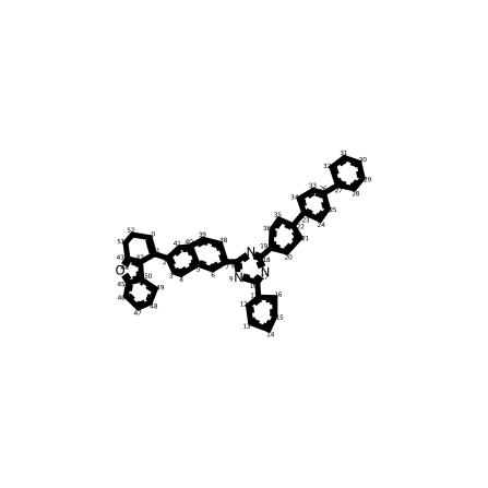 C1=C(c2ccc3cc(-c4nc(-c5ccccc5)nc(-c5ccc(-c6ccc(-c7ccccc7)cc6)cc5)n4)ccc3c2)c2c(oc3ccccc23)CC1